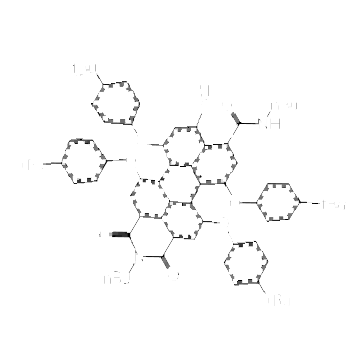 CCCCNC(=O)c1cc(Oc2ccc(C(C)(C)C)cc2)c2c3c(Oc4ccc(C(C)(C)C)cc4)cc4c5c(cc(Oc6ccc(C(C)(C)C)cc6)c(c6c(Oc7ccc(C(C)(C)C)cc7)cc(C)c1c62)c53)C(=O)N(CCCC)C4=O